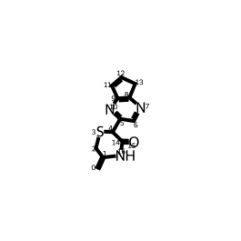 C=C1CSC(c2cnc3c(n2)C=CC3)C(=O)N1